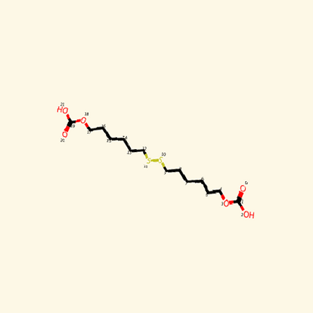 O=C(O)OCCCCCCSSCCCCCCOC(=O)O